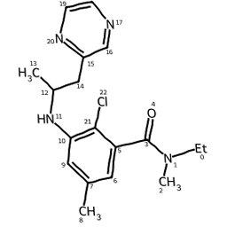 CCN(C)C(=O)c1cc(C)cc(NC(C)Cc2cnccn2)c1Cl